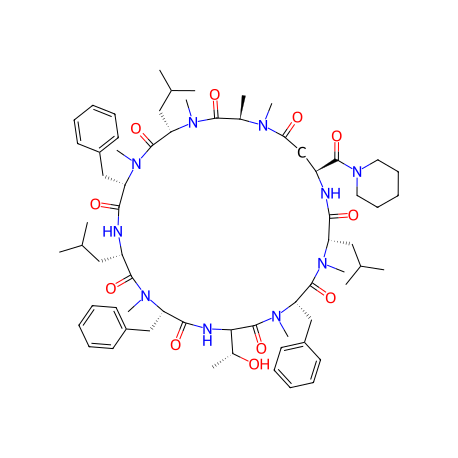 CC(C)C[C@@H]1NC(=O)[C@H](Cc2ccccc2)N(C)C(=O)[C@H](CC(C)C)N(C)C(=O)[C@@H](C)N(C)C(=O)C[C@@H](C(=O)N2CCCCC2)NC(=O)[C@H](CC(C)C)N(C)C(=O)[C@H](Cc2ccccc2)N(C)C(=O)C([C@@H](C)O)NC(=O)[C@H](Cc2ccccc2)N(C)C1=O